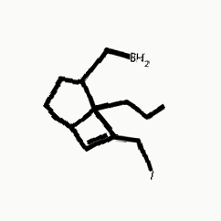 BCC1CCC2C=C(CI)C21CCC